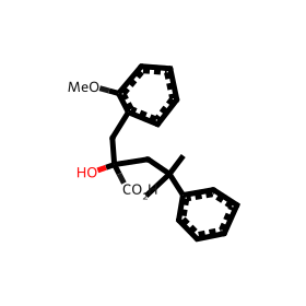 COc1ccccc1CC(O)(CC(C)(C)c1ccccc1)C(=O)O